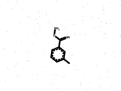 Cc1cccc(C(=N)ON)c1